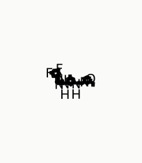 CCC1CN(CCNc2cc(C)cc(Nc3ncn(-c4cc(F)cc(F)c4)n3)c2)CCO1